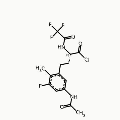 CC(=O)Nc1cc(F)c(C)c(CC[C@H](NC(=O)C(F)(F)F)C(=O)Cl)c1